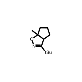 CC(C)(C)C1=NOC2(C)CCCC12